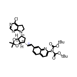 CC(C)(C)OC(=O)N(C(=O)OC(C)(C)C)c1ccc2ccc(/C=C/[C@H]3C[C@@H](N4CCc5c(Cl)ncnc54)[C@@H]4OC(C)(C)O[C@@H]43)cc2n1